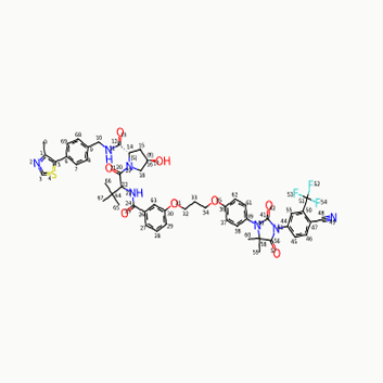 Cc1ncsc1-c1ccc(CNC(=O)[C@@H]2C[C@@H](O)CN2C(=O)C(NC(=O)c2cccc(OCCCOc3ccc(N4C(=O)N(c5ccc(C#N)c(C(F)(F)F)c5)C(=O)C4(C)C)cc3)c2)C(C)(C)C)cc1